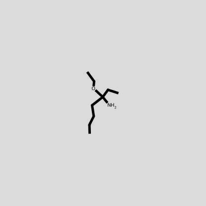 CCCCC(N)(CC)OCC